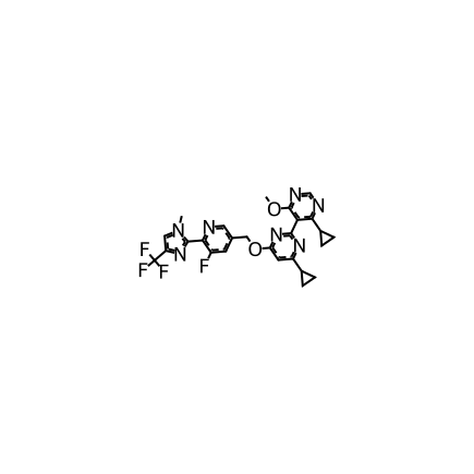 COc1ncnc(C2CC2)c1-c1nc(OCc2cnc(-c3nc(C(F)(F)F)cn3C)c(F)c2)cc(C2CC2)n1